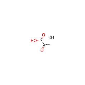 CC(=O)C(=O)O.[KH]